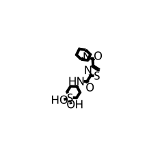 O=C(NC1CCS(O)(O)CC1)c1nc(C(=O)N2C3CCC2CC3)cs1